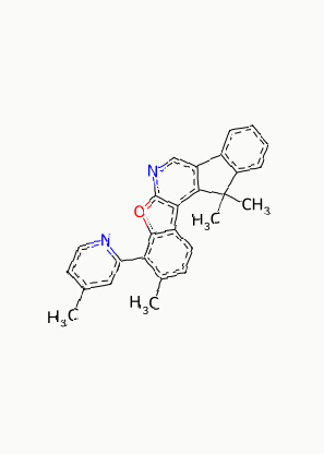 Cc1ccnc(-c2c(C)ccc3c2oc2ncc4c(c23)C(C)(C)c2ccccc2-4)c1